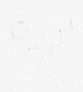 CCNC(=O)Cc1c(C)n(C(=O)c2ccc(OC(F)(F)F)cc2)c2cc(F)c(OC)cc12